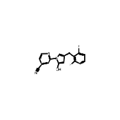 N#Cc1ccnc(-n2cc(Cc3c(F)cccc3F)cc2O)c1